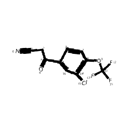 N#CCC(=O)c1ccc(OC(F)(F)F)c(Cl)c1